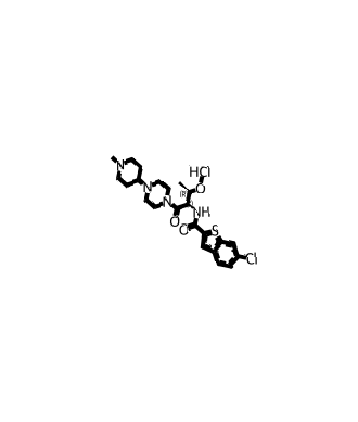 CO[C@H](C)[C@@H](NC(=O)c1cc2ccc(Cl)cc2s1)C(=O)N1CCN(C2CCN(C)CC2)CC1.Cl